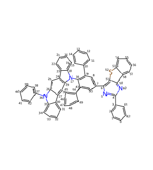 c1ccc(-c2nc(-c3cc(-c4ccccc4)c(-n4c5ccccc5c5cc6c(cc54)c4ccccc4n6-c4ccccc4)c(-c4ccccc4)c3)c3sc4ccccc4c3n2)cc1